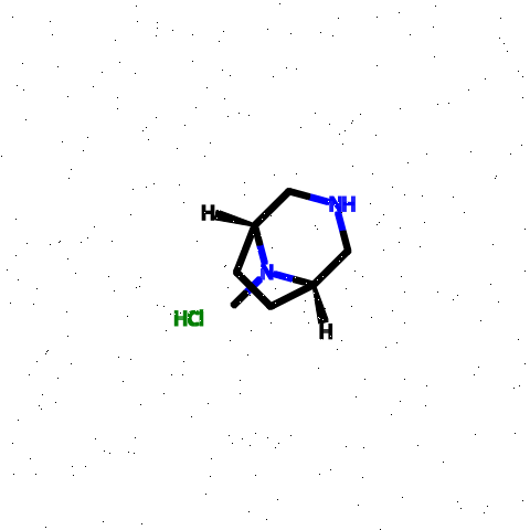 CN1[C@@H]2CC[C@H]1CNC2.Cl